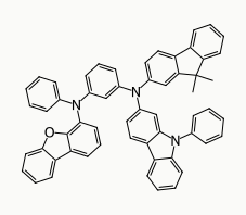 CC1(C)c2ccccc2-c2ccc(N(c3cccc(N(c4ccccc4)c4cccc5c4oc4ccccc45)c3)c3ccc4c5ccccc5n(-c5ccccc5)c4c3)cc21